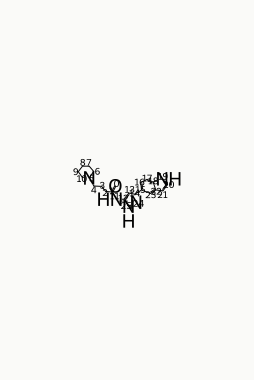 O=C(CCCN1CCCCC1)Nc1cc(-c2ccc3[nH]ccc3c2)n[nH]1